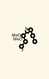 COc1cc(-c2cc3c(-c4ccc(-c5ccccc5)cc4)cccc3[n+](C)c2)cc(-c2cccc(-c3cccc(F)c3)c2)c1OC